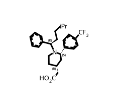 CC(C)CC[C@H](c1ccccc1)N1CC[C@@H](CC(=O)O)C[C@H]1c1ccc(C(F)(F)F)cc1